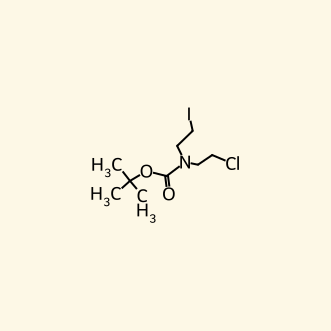 CC(C)(C)OC(=O)N(CCCl)CCI